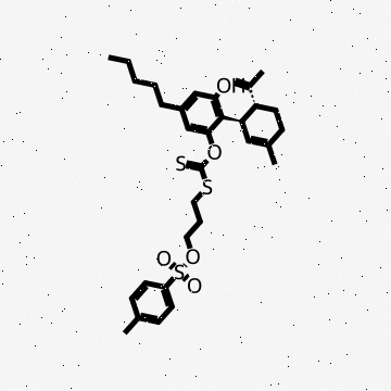 C=C(C)[C@@H]1CCC(C)=C[C@H]1c1c(O)cc(CCCCC)cc1OC(=S)SCCCOS(=O)(=O)c1ccc(C)cc1